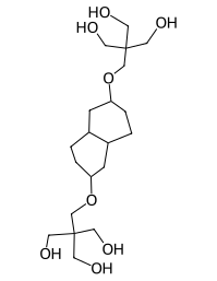 OCC(CO)(CO)COC1CCC2CC(OCC(CO)(CO)CO)CCC2C1